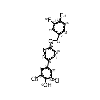 Oc1c(Cl)cc(-c2cnc(OCc3ccc(F)c(F)c3)nn2)cc1Cl